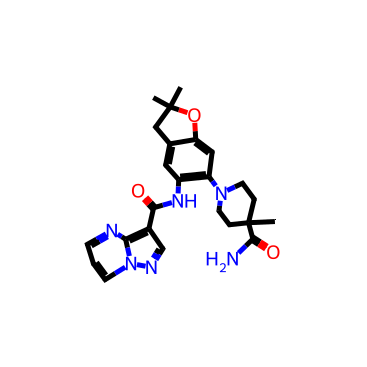 CC1(C)Cc2cc(NC(=O)c3cnn4cccnc34)c(N3CCC(C)(C(N)=O)CC3)cc2O1